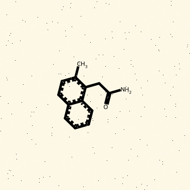 Cc1ccc2ccccc2c1CC(N)=O